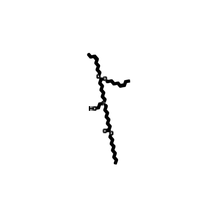 CC/C=C\CCCCOC(CCCCCCN(CCO)CCCCCCCC(=O)OCCCCCCCCC)OCCCC/C=C\CC